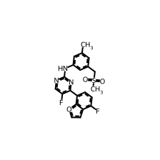 Cc1cc(CS(C)(=O)=O)cc(Nc2ncc(F)c(-c3ccc(F)c4ccoc34)n2)c1